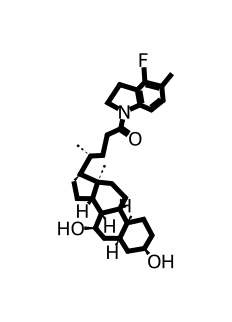 Cc1ccc2c(c1F)CCN2C(=O)CC[C@@H](C)[C@H]1CC[C@H]2[C@@H]3[C@H](O)C[C@@H]4C[C@H](O)CC[C@]4(C)[C@H]3CC[C@]12C